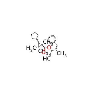 C#CC(OC(=O)C1(C)C(=C2CCCC2)C1(C)C)C(C)=Cc1ccccc1